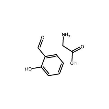 NCC(=O)O.O=Cc1ccccc1O